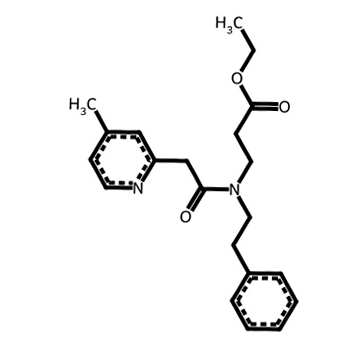 CCOC(=O)CCN(CCc1ccccc1)C(=O)Cc1cc(C)ccn1